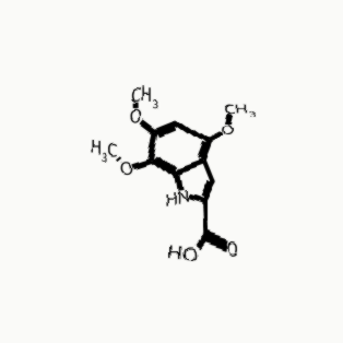 COc1cc(OC)c2cc(C(=O)O)[nH]c2c1OC